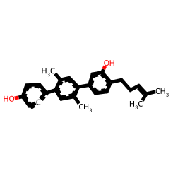 CC(C)=CCCc1ccc(-c2cc(C)c(-c3ccc(O)cc3)cc2C)cc1O